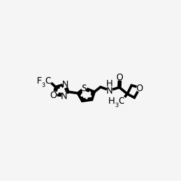 CC1(C(=O)NCc2ccc(-c3noc(C(F)(F)F)n3)s2)COC1